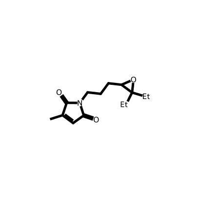 CCC1(CC)OC1CCCN1C(=O)C=C(C)C1=O